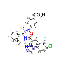 O=C(O)c1ccc(NC(=O)C2c3ccccc3CCN2C(=O)C=Cc2c(-n3cnnn3)ccc(Cl)c2F)cc1